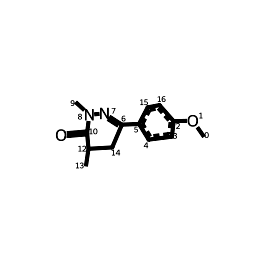 COc1ccc(C2=NN(C)C(=O)C(C)C2)cc1